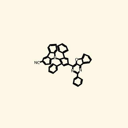 N#Cc1ccc2c(c1)c1ccccc1n2-c1c(-c2ccccc2)cc(-c2nc(-c3ccccc3)nc3c2oc2ccccc23)cc1-c1ccccc1